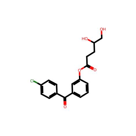 O=C(CCC(O)CO)Oc1cccc(C(=O)c2ccc(Cl)cc2)c1